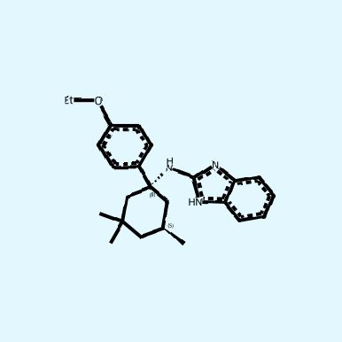 CCOc1ccc([C@@]2(Nc3nc4ccccc4[nH]3)C[C@@H](C)CC(C)(C)C2)cc1